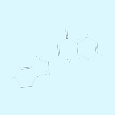 O=c1cc(-c2nc3ccccc3[nH]2)[nH]c2ccccc12